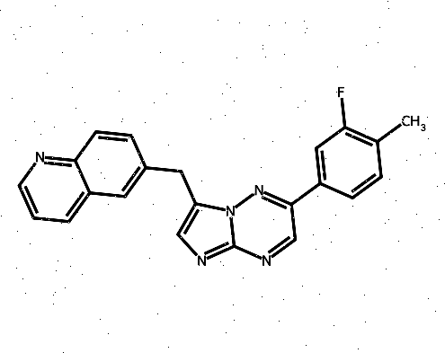 Cc1ccc(-c2cnc3ncc(Cc4ccc5ncccc5c4)n3n2)cc1F